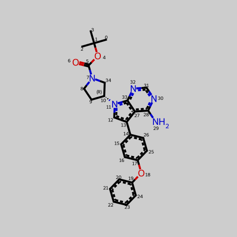 CC(C)(C)OC(=O)N1CC[C@@H](n2cc(-c3ccc(Oc4ccccc4)cc3)c3c(N)ncnc32)C1